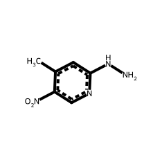 Cc1cc(NN)ncc1[N+](=O)[O-]